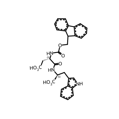 O=C(O)C[C@H](NC(=O)OCC1c2ccccc2-c2ccccc21)C(=O)N[C@@H](Cc1c[nH]c2ccccc12)C(=O)O